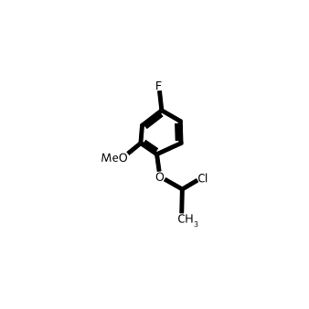 COc1cc(F)ccc1OC(C)Cl